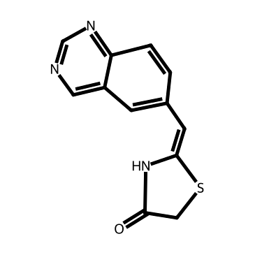 O=C1CSC(=Cc2ccc3ncncc3c2)N1